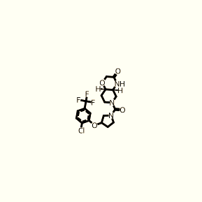 O=C1CO[C@H]2CCN(C(=O)N3CCC(Oc4cc(C(F)(F)F)ccc4Cl)C3)C[C@H]2N1